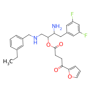 CCc1cccc(CNCC(OC(=O)CCC(=O)c2ccco2)C(N)Cc2cc(F)cc(F)c2)c1